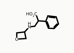 O=C(O)C(CNC1COC1)c1ccccc1